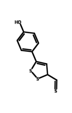 Oc1ccc(C2=CC(C=S)SS2)cc1